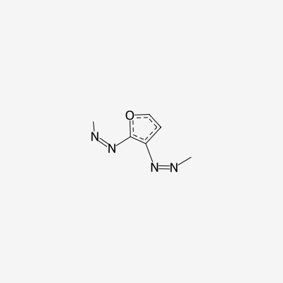 C/N=N\c1ccoc1/N=N\C